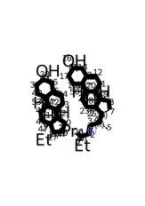 CC[C@H](/C=C/[C@@H](C)[C@H]1CC[C@H]2[C@@H]3CC=C4C[C@@H](O)CC[C@]4(C)[C@H]3CC[C@]12C)C(C)C.CC[C@H]1CC[C@H]2[C@@H]3CC=C4C[C@@H](O)CC[C@]4(C)[C@H]3CC[C@]12C